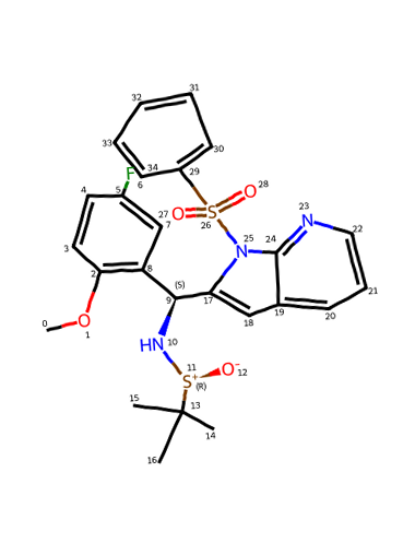 COc1ccc(F)cc1[C@H](N[S@@+]([O-])C(C)(C)C)c1cc2cccnc2n1S(=O)(=O)c1ccccc1